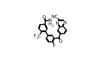 N#Cc1cnc2ccc(C(=O)c3cc(-c4cc(C(N)=O)ccc4C(F)(F)F)ccc3F)cc2n1